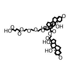 C[C@]12C=CC(=O)C=C1CCC1C2[C@@H](O)C[C@@]2(C)C1CC[C@]2(O)C(=O)COC(=O)C(CC=O)(CC(=O)OCCOCCOCCOC(=O)CCC(=O)O)[C@@]1(O)CCC2C3CCC4=CC(=O)CC[C@]4(C)[C@@]3(F)[C@@H](O)C[C@@]21C